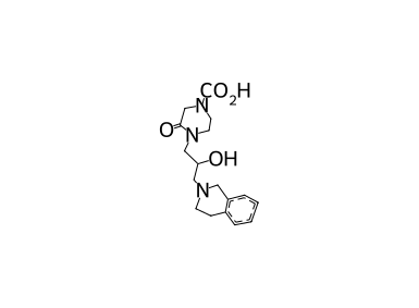 O=C(O)N1CCN(CC(O)CN2CCc3ccccc3C2)C(=O)C1